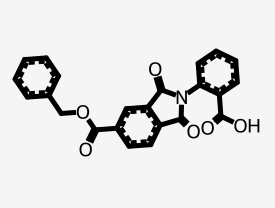 O=C(OCc1ccccc1)c1ccc2c(c1)C(=O)N(c1ccccc1C(=O)O)C2=O